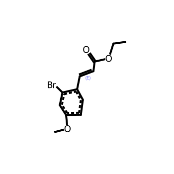 CCOC(=O)/C=C/c1ccc(OC)cc1Br